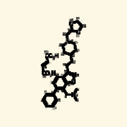 CN(C)Cc1c(-c2ccccc2)ccc2c(CCC3CCN(CC4OCCO4)CC3)noc12.O=C(O)C=CC(=O)O